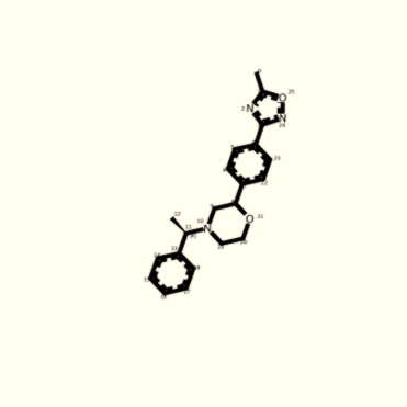 Cc1nc(-c2ccc(C3CN([C@H](C)c4ccccc4)CCO3)cc2)no1